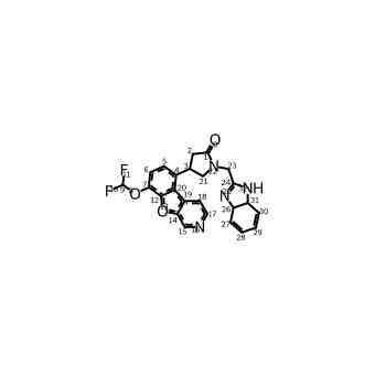 O=C1CC(c2ccc(OC(F)F)c3oc4cnccc4c23)CN1CC1=NC2C=CC=CC2N1